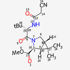 COC(=O)[C@@H]1[C@@H]2[C@H](CN1C(=O)[C@@H](NC(=O)CC#N)C(C)(C)C)C2(C)C